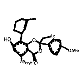 CCCCCc1cc(O)c(C2C=C(C)CCC2)c2c1C(=O)OC(CC(C)=O)(c1ccc(OC)cc1)O2